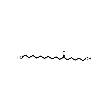 O=C(CCCCCO)CCCCCCCCCCO